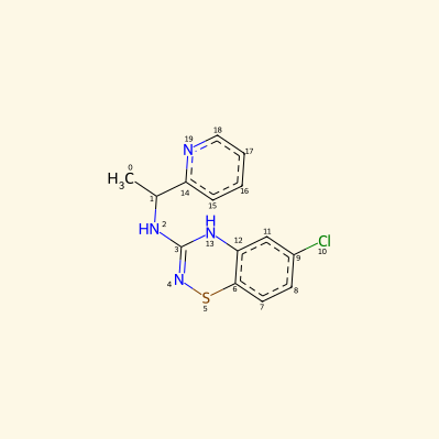 CC(NC1=NSc2ccc(Cl)cc2N1)c1ccccn1